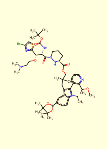 CCn1c(-c2cccnc2[C@H](C)OC)c(CC(C)(C)COC(=O)[C@@H]2CCCN(C(=O)[C@@H](NC(=O)OC(C)(C)C)[C@H](OCCN(C)C)c3nc(Br)cs3)N2)c2cc(B3OC(C)(C)C(C)(C)O3)ccc21